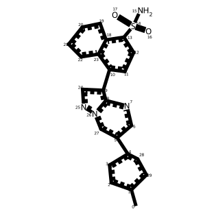 Cc1ccc(-c2cnc3c(-c4ccc(S(N)(=O)=O)c5ccccc45)cnn3c2)cc1